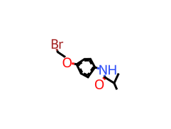 CC(C)C(=O)Nc1ccc(OCCBr)cc1